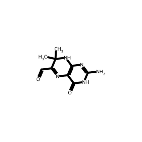 CC1(C)Nc2nc(N)[nH]c(=O)c2N=C1C=O